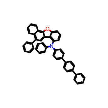 c1ccc(-c2ccc(-c3ccc(N(c4ccccc4)c4cccc5oc6c7ccccc7c(-c7ccccc7)cc6c45)cc3)cc2)cc1